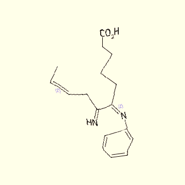 C/C=C\CC(=N)/C(CCCCC(=O)O)=N\c1ccccc1